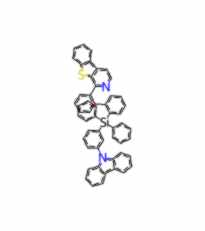 c1ccc([Si](c2ccccc2)(c2cccc(-n3c4ccccc4c4ccccc43)c2)c2ccccc2-c2ccccc2-c2nccc3c2sc2ccccc23)cc1